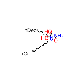 CCCCCCCCC=CCCCCCCCCN(C(N)=O)C(CO)C(O)CCCCCCCCCCCCCCC